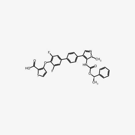 C[C@@H](OC(=O)Nc1c(-c2ccc(-c3cc(F)c(Oc4ccsc4C(=O)O)c(F)c3)cc2)cnn1C)c1ccccc1